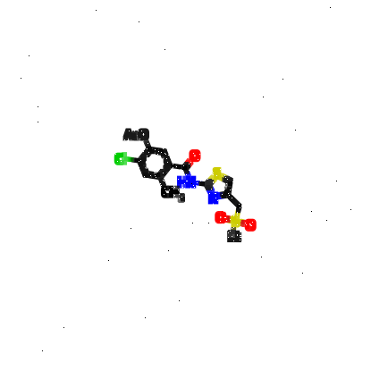 CCS(=O)(=O)Cc1csc(NC(=O)c2cc(OC(C)=O)c(Cl)cc2C)n1